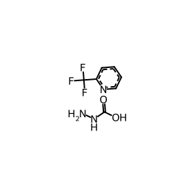 FC(F)(F)c1ccccn1.NNC(=O)O